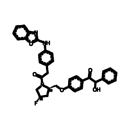 O=C(c1ccc(OC[C@@H]2C[C@H](F)CN2C(=O)Cc2ccc(Nc3nc4ccccc4o3)cc2)cc1)C(O)c1ccccc1